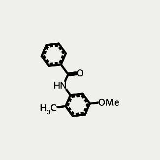 COc1ccc(C)c(NC(=O)c2ccccc2)c1